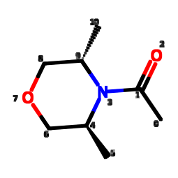 CC(=O)N1[C@@H](C)COC[C@@H]1C